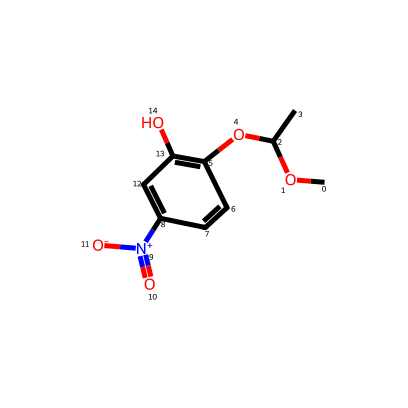 COC(C)Oc1ccc([N+](=O)[O-])cc1O